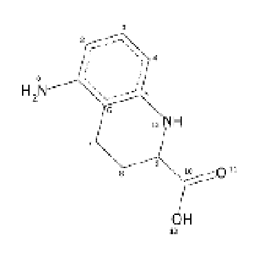 Nc1cccc2c1CCC(C(=O)O)N2